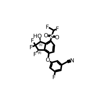 N#Cc1cc(F)cc(Oc2ccc(S(=O)(=O)C(F)F)c3c2[C@@H](F)C(F)(F)[C@H]3O)c1